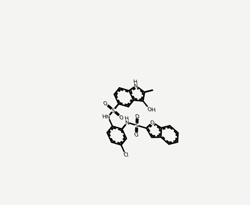 Cc1[nH]c2ccc(S(=O)(=O)Nc3ccc(Cl)cc3NS(=O)(=O)c3cc4ccccc4o3)cc2c1O